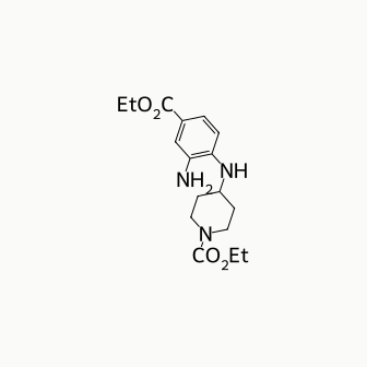 CCOC(=O)c1ccc(NC2CCN(C(=O)OCC)CC2)c(N)c1